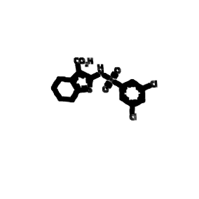 O=C(O)c1c(NS(=O)(=O)c2cc(Cl)cc(Cl)c2)sc2c1CCCC2